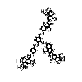 CCc1c2c(nc3ccc(OCc4ccc(OCc5ccc(ONc6c7c(c(ON)c8c6OCO8)C(=O)NCC7)cc5)c(COc5ccc6nc7c(c(CC)c6c5)Cn5c-7cc6c(c5=O)COC(=O)[C@]6(O)CC)c4)cc13)-c1cc3c(c(=O)n1C2)COC(=O)[C@]3(O)CC